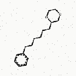 c1ccc(CCCCCCC2COCCO2)cc1